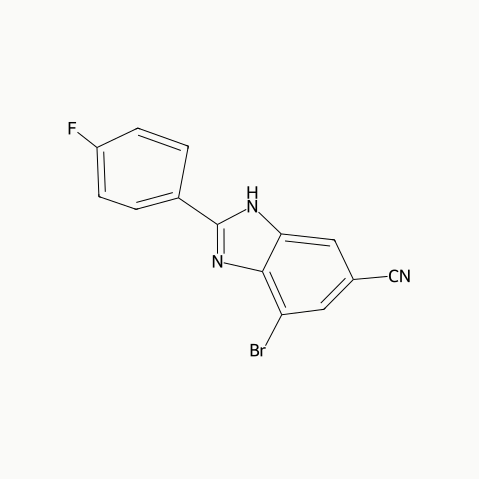 N#Cc1cc(Br)c2nc(-c3ccc(F)cc3)[nH]c2c1